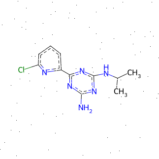 CC(C)Nc1nc(N)nc(-c2cccc(Cl)n2)n1